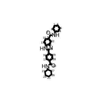 O=C(Nc1ccccc1)c1ccc2[nH]c(-c3ccc(C(=O)NC4CCCCC4)cc3)nc2c1